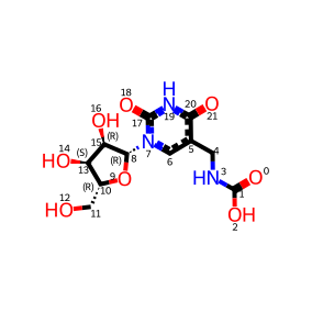 O=C(O)NCc1cn([C@@H]2O[C@H](CO)[C@@H](O)[C@H]2O)c(=O)[nH]c1=O